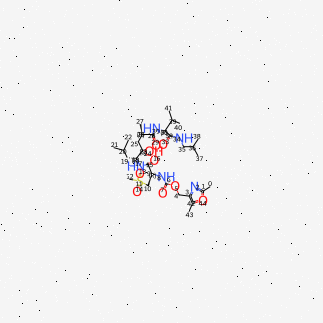 Cc1nc(COC(=O)N[C@@H](CS(C)(=O)=O)C(=O)N[C@H](CC(C)C)[C@@H](O)C[C@@H](C)C(=O)N[C@@H](C(=O)NCC(C)C)C(C)C)c(C)o1